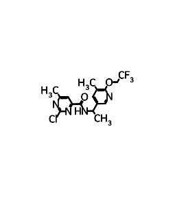 Cc1cc(C(=O)NC(C)c2cnc(OCC(F)(F)F)c(C)c2)nc(Cl)n1